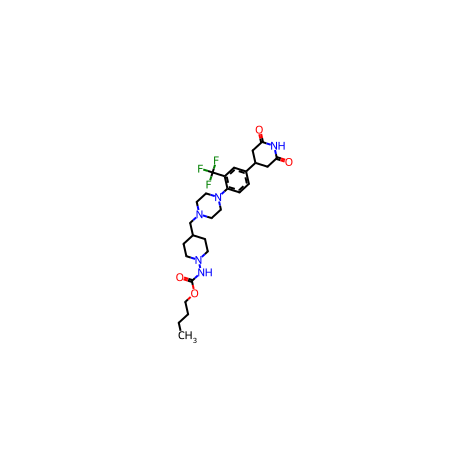 CCCCOC(=O)NN1CCC(CN2CCN(c3ccc(C4CC(=O)NC(=O)C4)cc3C(F)(F)F)CC2)CC1